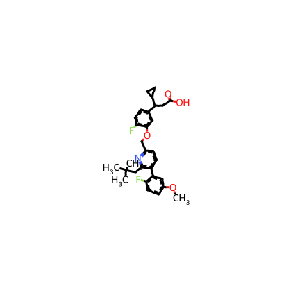 COc1ccc(F)c(-c2ccc(COc3cc(C(CC(=O)O)C4CC4)ccc3F)nc2CC(C)(C)C)c1